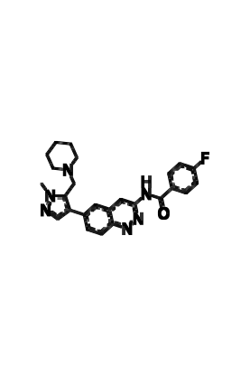 Cn1ncc(-c2ccc3nnc(NC(=O)c4ccc(F)cc4)cc3c2)c1CN1CCCCC1